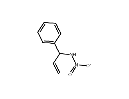 C=CC(N[N+](=O)[O-])c1ccccc1